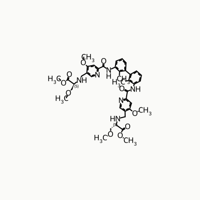 COC[C@H](NCc1cnc(C(=O)Nc2cccc(-c3cccc(NC(=O)c4cc(OC)c(CN[C@@H](COC)C(=O)OC)cn4)c3C)c2C)cc1OC)C(=O)OC